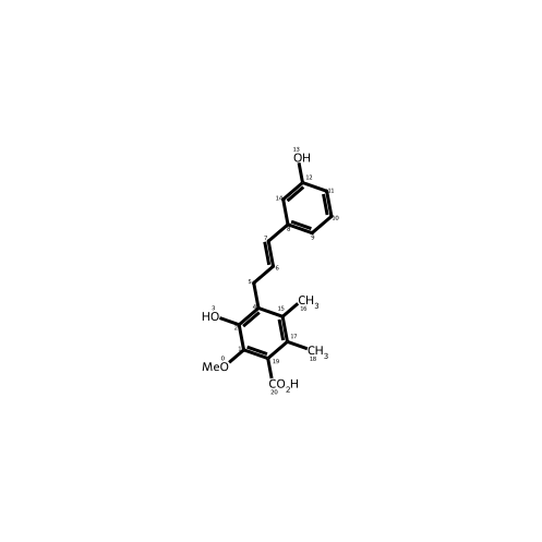 COc1c(O)c(CC=Cc2cccc(O)c2)c(C)c(C)c1C(=O)O